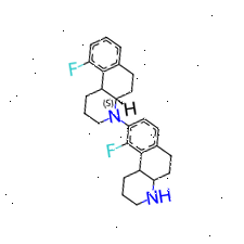 Fc1cccc2c1C1CCCN(c3ccc4c(c3F)C3CCCNC3CC4)[C@H]1CC2